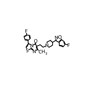 Cc1nc2scc(-c3ccc(F)cc3)n2c(=O)c1CCN1CCC(c2noc3cc(F)ccc23)CC1